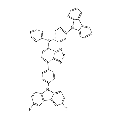 Fc1ccc2c(c1)c1cc(F)ccc1n2-c1ccc(-c2ccc(N(c3ccccc3)c3ccc(-n4c5ccccc5c5ccccc54)cc3)c3nsnc23)cc1